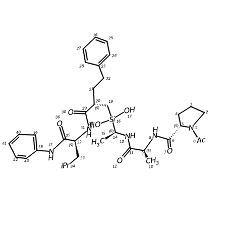 CC(=O)N1CCC[C@H]1C(=O)N[C@@H](C)C(=O)N[C@@H](C)[Si](O)(O)C[C@@H](CCc1ccccc1)C(=O)N[C@@H](CC(C)C)C(=O)Nc1ccccc1